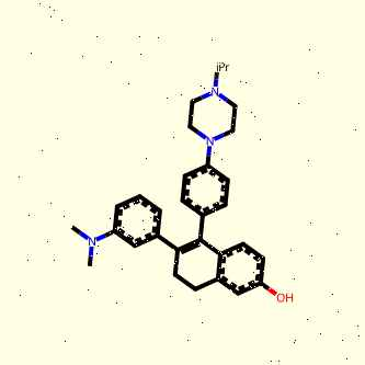 CC(C)N1CCN(c2ccc(C3=C(c4cccc(N(C)C)c4)CCc4cc(O)ccc43)cc2)CC1